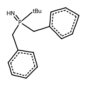 CC(C)(C)P(=N)(Cc1ccccc1)Cc1ccccc1